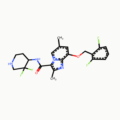 Cc1cc(OCc2c(F)cccc2F)c2nc(C)c(C(=O)NC3CCNCC3(F)F)n2c1